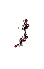 COc1cc2c(NC3CCN(c4cccc(C5CCN(CCCOc6cc7nc8c(c(NC9CCN(c%10ccccc%10F)CC9)c7cc6OC)CCCCC8)C5)c4Cl)CC3)c3c(nc2cc1OCCCN1CCCC1)CCC3